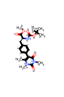 COC(=O)[C@H](Cc1ccc(-c2c(C)n(C)c(=O)n(C)c2=O)cc1)NC(=O)OC(C)(C)C